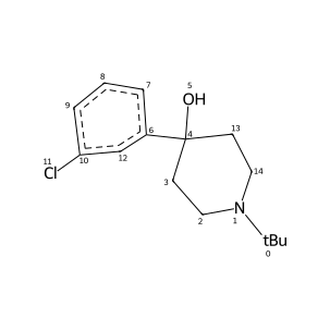 CC(C)(C)N1CCC(O)(c2cccc(Cl)c2)CC1